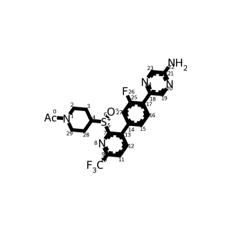 CC(=O)N1CCC([S+]([O-])c2nc(C(F)(F)F)ccc2-c2ccc(-c3cnc(N)cn3)c(F)c2)CC1